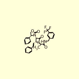 CC(C(=O)NCc1cccc(C(F)(F)F)c1)N1C(=O)[C@@H](N2C(=O)OC[C@@H]2c2ccccc2)[C@H]1/C=C/c1ccccc1